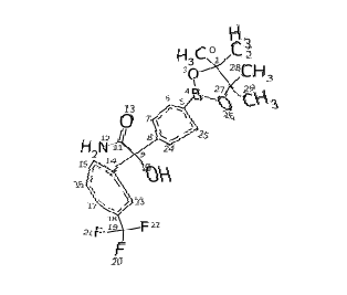 CC1(C)OB(c2ccc(C(O)(C(N)=O)c3cccc(C(F)(F)F)c3)cc2)OC1(C)C